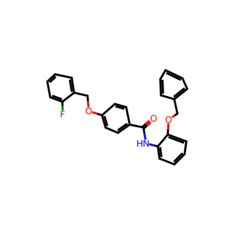 O=C(Nc1ccccc1OCc1ccccc1)c1ccc(OCc2ccccc2F)cc1